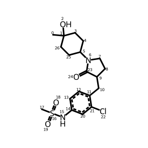 CC1(O)CCC(N2CCC(Cc3ccc(NS(C)(=O)=O)cc3Cl)C2=O)CC1